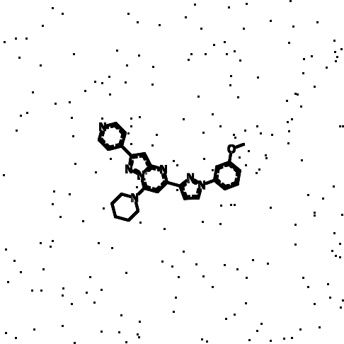 COc1cccc(-n2ccc(-c3cc(N4CCCCC4)n4nc(-c5ccncc5)cc4n3)n2)c1